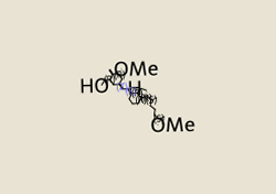 C=C1[C@H](CO)C/C(=C/C=C2\CCC[C@]3(C)[C@@H]([C@@H](C)CCC[C@H](C)OC)CC[C@@H]23)C[C@H]1OC